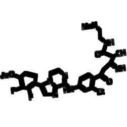 CCc1cc(Nc2nccn3c(-c4ccc(OC)c(F)c4F)cnc23)ccc1C(=O)CC(=N)[C@H](C)C(=O)NCCNC